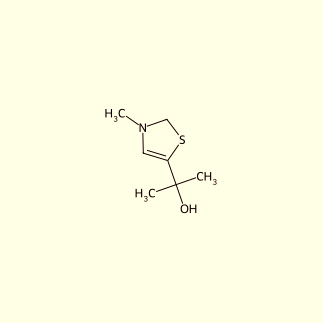 CN1C=C(C(C)(C)O)SC1